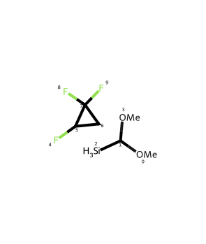 COC([SiH3])OC.FC1CC1(F)F